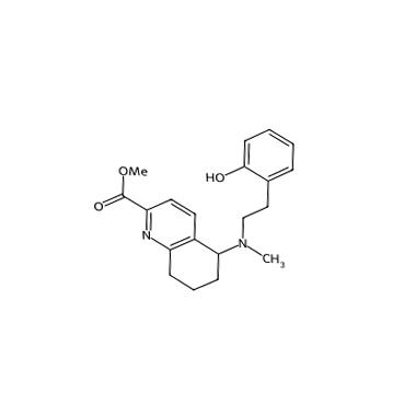 COC(=O)c1ccc2c(n1)CCCC2N(C)CCc1ccccc1O